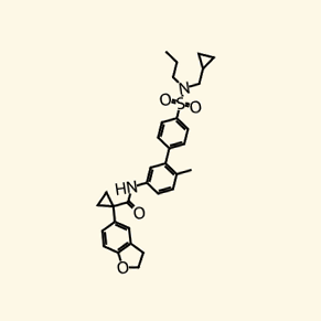 CCCN(CC1CC1)S(=O)(=O)c1ccc(-c2cc(NC(=O)C3(c4ccc5c(c4)CCO5)CC3)ccc2C)cc1